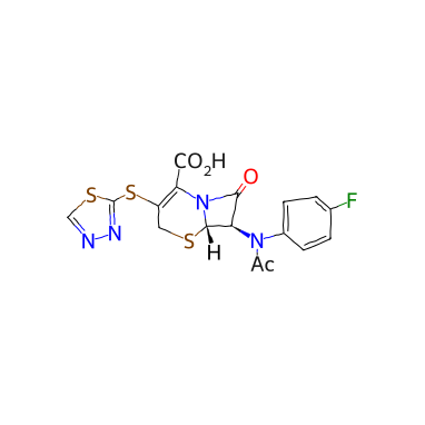 CC(=O)N(c1ccc(F)cc1)[C@@H]1C(=O)N2C(C(=O)O)=C(Sc3nncs3)CS[C@@H]12